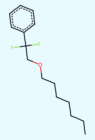 CCCCCCCOCC(F)(F)c1ccccc1